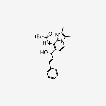 Cc1nc2c(NC(=O)C(C)(C)C)c(C(O)C=Cc3ccccc3)ccn2c1C